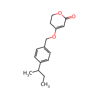 CCC(C)c1ccc(COC2=CC(=O)OCC2)cc1